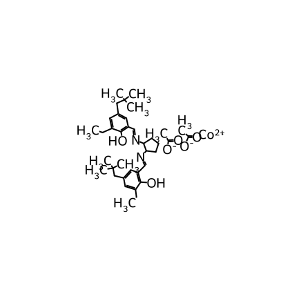 CC(=O)[O-].CC(=O)[O-].CCc1cc(CC(C)(C)C)cc(C=NC2CCCC2N=Cc2cc(CC(C)(C)C)cc(CC)c2O)c1O.[Co+2]